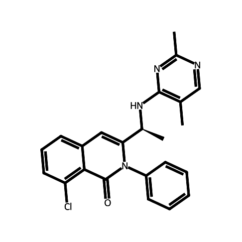 Cc1ncc(C)c(N[C@@H](C)c2cc3cccc(Cl)c3c(=O)n2-c2ccccc2)n1